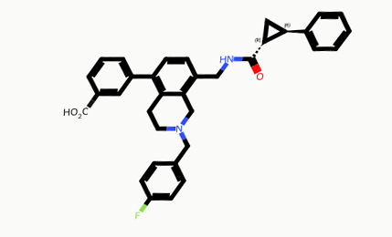 O=C(O)c1cccc(-c2ccc(CNC(=O)[C@@H]3C[C@H]3c3ccccc3)c3c2CCN(Cc2ccc(F)cc2)C3)c1